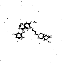 COc1cc2ncnc(Nc3cc(Cl)ccc3F)c2cc1OCCCN1CCC2(CC1)CC(=O)N(C)C2